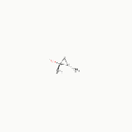 C[C@H]1C[C@@]1(C)[O]